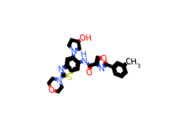 Cc1cccc(-c2nc(C(=O)Nc3cc4sc(N5CCOCC5)nc4cc3N3CCC(O)C3)co2)c1